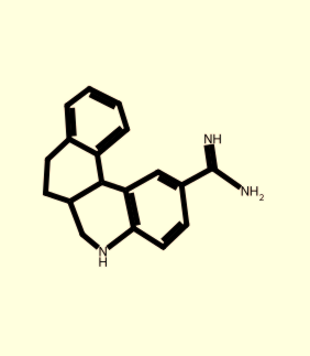 N=C(N)c1ccc2c(c1)C1c3ccccc3CCC1CN2